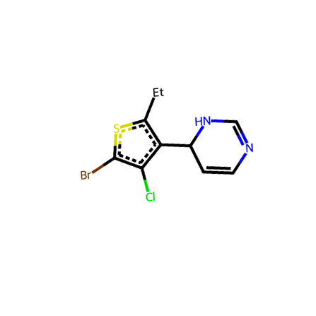 CCc1sc(Br)c(Cl)c1C1C=CN=CN1